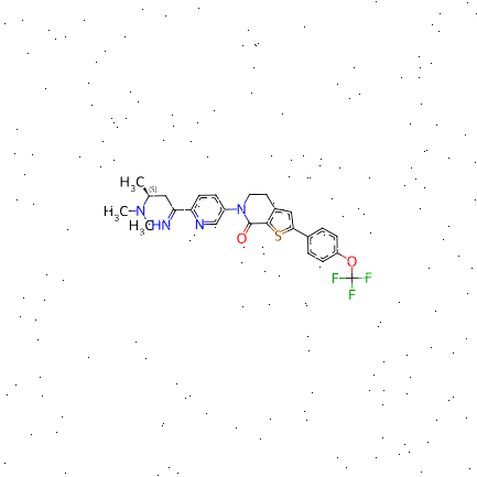 C[C@@H](CC(=N)c1ccc(N2CCc3cc(-c4ccc(OC(F)(F)F)cc4)sc3C2=O)cn1)N(C)C